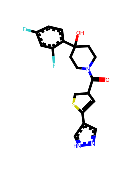 O=C(C1C=C(c2cn[nH]c2)SC1)N1CCC(O)(c2ccc(F)cc2F)CC1